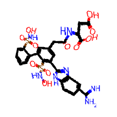 N=C(N)c1ccc2[nH]c(-c3cc(CC(=O)NC(CC(=O)O)C(=O)O)cc(-c4ccccc4S(=O)(=O)NO)c3S(=O)(=O)NO)nc2c1